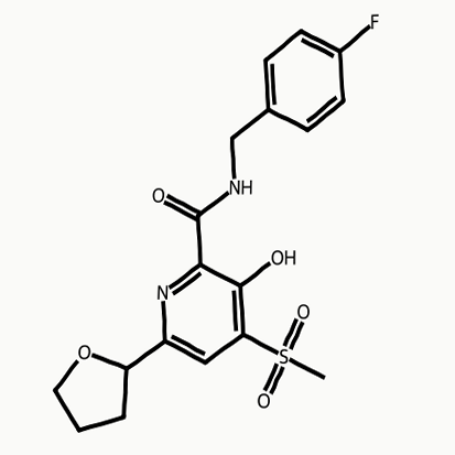 CS(=O)(=O)c1cc(C2CCCO2)nc(C(=O)NCc2ccc(F)cc2)c1O